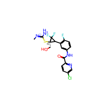 C/N=C(/N)S[C@]1(CO)C(c2cc(NC(=O)c3ccc(Cl)cn3)ccc2F)C1(F)F